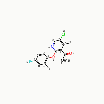 COC(=O)c1c(Oc2ccc(F)cc2C)ncc(Cl)c1C